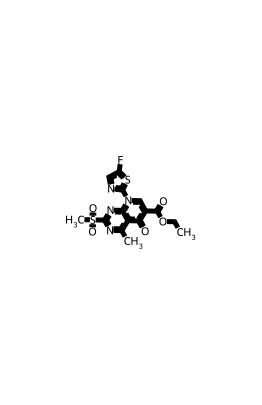 CCOC(=O)c1cn(-c2ncc(F)s2)c2nc(S(C)(=O)=O)nc(C)c2c1=O